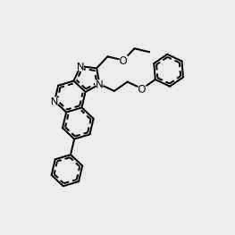 CCOCc1nc2cnc3cc(-c4ccccc4)ccc3c2n1CCOc1ccccc1